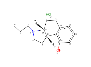 CCCN1CC[C@H]2c3c(O)cccc3CC[C@H]21.Cl